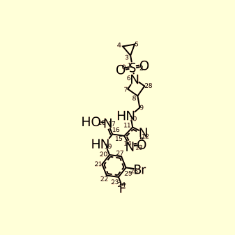 O=S(=O)(C1CC1)N1CC(CNc2nonc2/C(=N/O)Nc2ccc(F)c(Br)c2)C1